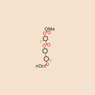 CCCCCCCCOc1ccc(-c2ccc(OC(=O)c3ccc(OC(=O)OC)cc3F)cc2)cc1F